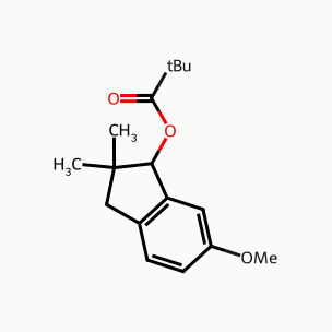 COc1ccc2c(c1)C(OC(=O)C(C)(C)C)C(C)(C)C2